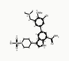 CCc1cc(-c2cc(C(N)=O)c3[nH]cc(C4CCN(S(=O)(=O)CC)CC4)c3c2)cc(CN(C)C)c1OC